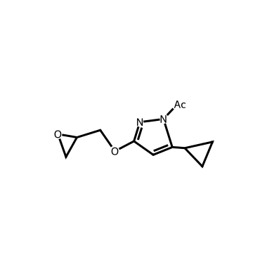 CC(=O)n1nc(OCC2CO2)cc1C1CC1